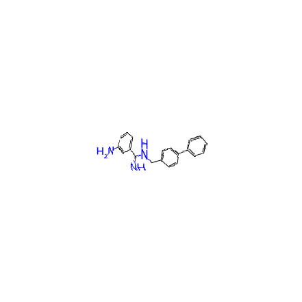 N=C(NCc1ccc(-c2ccccc2)cc1)c1cccc(N)c1